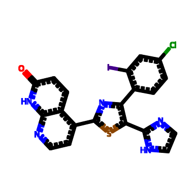 O=c1ccc2c(-c3nc(-c4ccc(Cl)cc4I)c(-c4ncc[nH]4)s3)ccnc2[nH]1